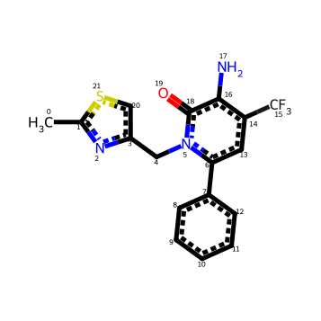 Cc1nc(Cn2c(-c3ccccc3)cc(C(F)(F)F)c(N)c2=O)cs1